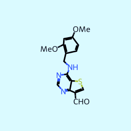 COc1ccc(CNc2ncnc3c(C=O)csc23)c(OC)c1